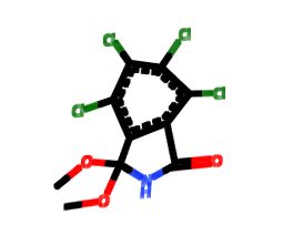 COC1(OC)NC(=O)c2c(Cl)c(Cl)c(Cl)c(Cl)c21